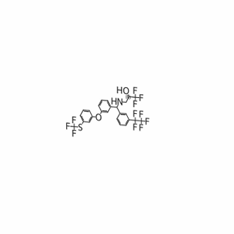 O[C@H](CNC(c1cccc(Oc2cccc(SC(F)(F)F)c2)c1)c1cccc(C(F)(F)C(F)(F)F)c1)C(F)(F)F